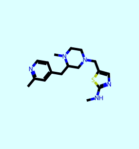 CNc1ncc(CN2CCN(C)C(Cc3ccnc(C)c3)C2)s1